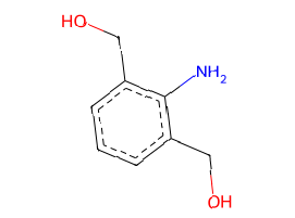 Nc1c(CO)cccc1CO